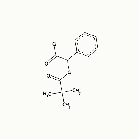 CC(C)(C)C(=O)OC(C(=O)Cl)c1ccccc1